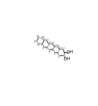 Oc1cc2cc3cc4cc5c(cc4cc3cc2cc1O)CC=CC5